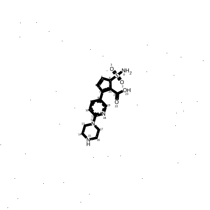 NS(=O)(=O)C1C=CC(c2ccc(N3CCNCC3)nc2)=C1C(=O)O